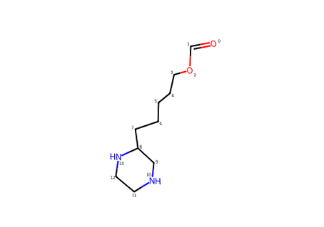 O=COCCCCCC1CNCCN1